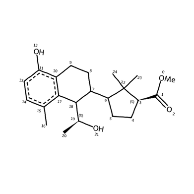 COC(=O)[C@H]1CCC(C2CCc3c(O)ccc(C)c3C2[C@H](C)O)C1(C)C